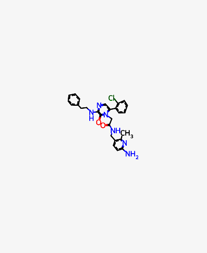 Cc1nc(N)ccc1CNC(=O)Cn1c(-c2ccccc2Cl)cnc(NCCc2ccccc2)c1=O